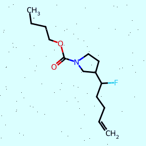 C=CCCC(F)C1CCN(C(=O)OCCCC)C1